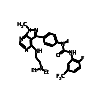 CCN(CC)CCNc1ncnc2c1c(-c1ccc(N(I)C(=O)Nc3cc(C(F)(F)F)ccc3F)cc1)nn2C